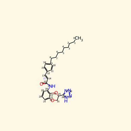 CCCCCCCCCc1ccc(/C=C/C(=O)Nc2cccc3c2OC(c2nnn[nH]2)CO3)cc1